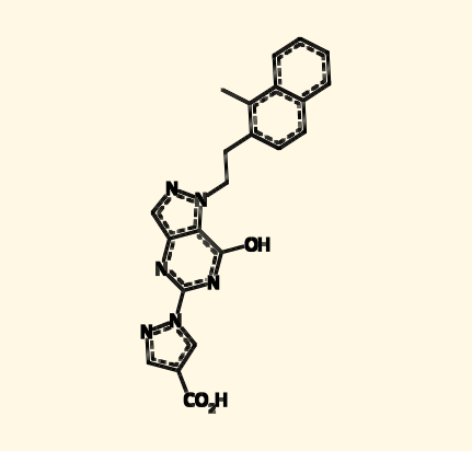 Cc1c(CCn2ncc3nc(-n4cc(C(=O)O)cn4)nc(O)c32)ccc2ccccc12